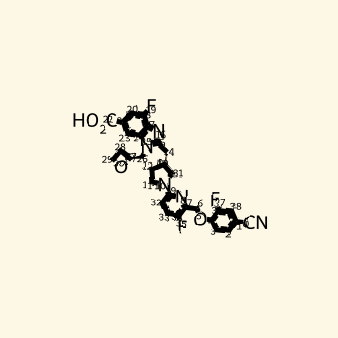 N#Cc1ccc(OCc2nc(N3CC[C@H](Cc4nc5c(F)cc(C(=O)O)cc5n4C[C@@H]4CCO4)C3)ccc2F)c(F)c1